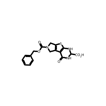 O=C1NC(C(=O)O)Nc2sc3c(c21)CN(C(=O)OCc1ccccc1)C3